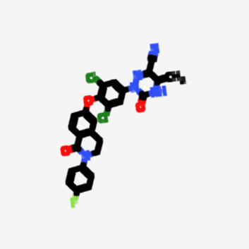 C=C1NC(=O)N(c2cc(Cl)c(Oc3ccc4c(c3)CCN(c3ccc(F)cc3)C4=O)c(Cl)c2)N=C1C#N